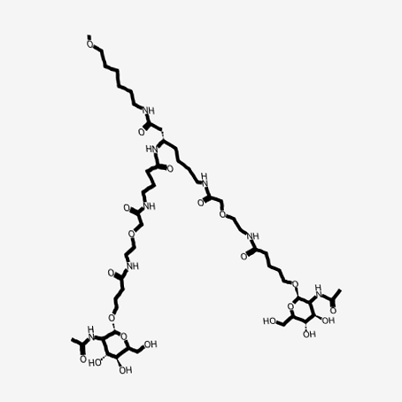 COCCCCCCNC(=O)C[C@H](CCCCNC(=O)COCCNC(=O)CCCCO[C@@H]1OC(CO)[C@@H](O)[C@H](O)C1NC(C)=O)NC(=O)CCCNC(=O)COCCNC(=O)CCCO[C@@H]1OC(CO)[C@@H](O)[C@H](O)C1NC(C)=O